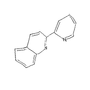 [c]1ccnc(-c2ccc3ccccc3n2)c1